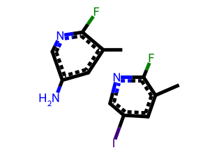 Cc1cc(I)cnc1F.Cc1cc(N)cnc1F